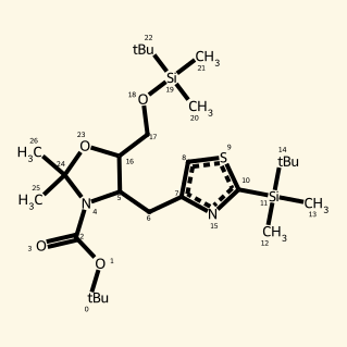 CC(C)(C)OC(=O)N1C(Cc2csc([Si](C)(C)C(C)(C)C)n2)C(CO[Si](C)(C)C(C)(C)C)OC1(C)C